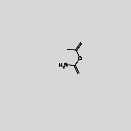 C=C(C)OC(=C)N